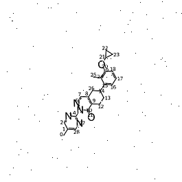 Cc1cnc(-n2ncc3c(c2=O)CCC(c2cccc(OC4CC4)c2C)C3)nc1